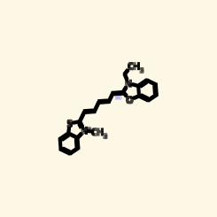 CCN1/C(=C/C=CC=Cc2sc3ccccc3[n+]2C)Oc2ccccc21